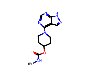 CC(C)(C)NC(=O)OC1CCN(c2ncnc3[nH]ncc23)CC1